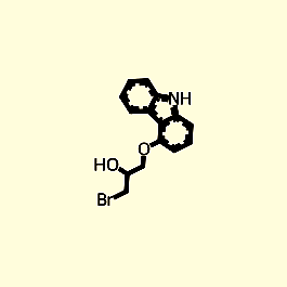 OC(CBr)COc1cccc2[nH]c3ccccc3c12